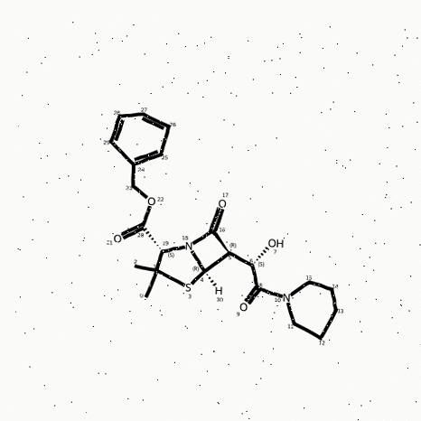 CC1(C)S[C@@H]2[C@H]([C@H](O)C(=O)N3CCCCC3)C(=O)N2[C@H]1C(=O)OCc1ccccc1